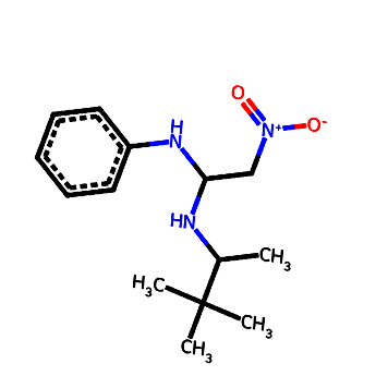 CC(NC(C[N+](=O)[O-])Nc1ccccc1)C(C)(C)C